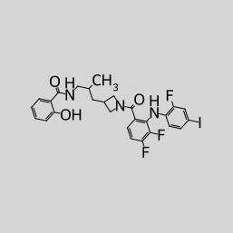 CC(CNC(=O)c1ccccc1O)CC1CN(C(=O)c2ccc(F)c(F)c2Nc2ccc(I)cc2F)C1